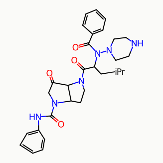 CC(C)CC(C(=O)N1CCC2C1C(=O)CN2C(=O)Nc1ccccc1)N(C(=O)c1ccccc1)N1CCNCC1